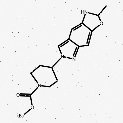 CC1Nc2cc3cn(C4CCN(C(=O)OC(C)(C)C)CC4)nc3cc2O1